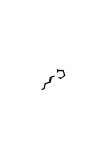 CCCC=CN1CCCC1C